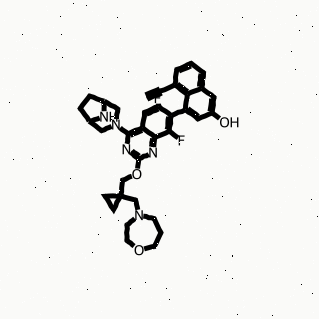 C#Cc1cccc2cc(O)cc(-c3c(F)cc4c(N5CC6CCC(C5)N6)nc(OCC5(CN6CCCOCC6)CC5)nc4c3F)c12